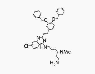 CNC(CCN)CCCNc1nc(/C=C/c2ccc(OCc3ccccc3)c(OCc3ccccc3)c2)nc2cc(Cl)ccc12